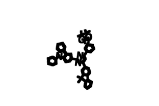 CC1(C)c2ccccc2-c2ccc(-c3cc(-c4cccc(B5OC(C)(C)C(C)(C)O5)c4)nc(-c4ccc5c(c4)c4ccccc4n5-c4ccccc4)n3)cc21